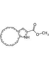 COC(=O)c1cc2ccccccccc2[nH]1